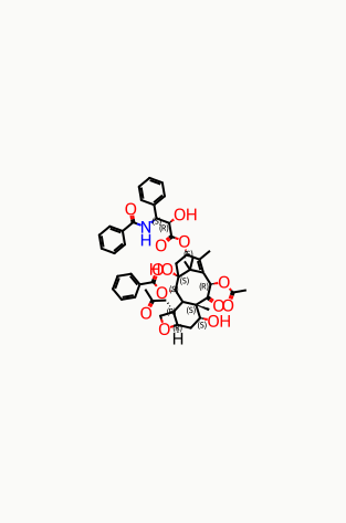 CC(=O)C[C@@]12CO[C@@H]1C[C@H](O)[C@@]1(C)C(=O)[C@H](OC(C)=O)C3=C(C)[C@@H](OC(=O)[C@H](O)[C@@H](NC(=O)c4ccccc4)c4ccccc4)C[C@@](O)([C@@H](OC(=O)c4ccccc4)C21)C3(C)C